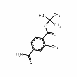 Cc1cc(C(N)=O)ccc1C(=O)OC(C)(C)C